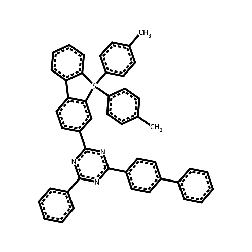 Cc1ccc(S2(c3ccc(C)cc3)c3ccccc3-c3ccc(-c4nc(-c5ccccc5)nc(-c5ccc(-c6ccccc6)cc5)n4)cc32)cc1